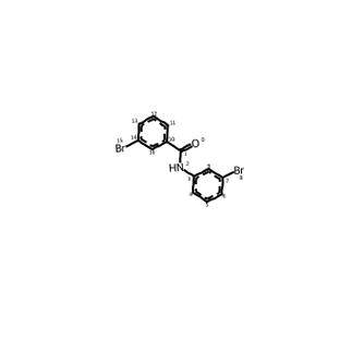 O=C(Nc1cccc(Br)c1)c1cccc(Br)c1